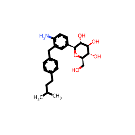 CC(C)CCc1ccc(Cc2cc([C@@H]3O[C@H](CO)[C@@H](O)[C@H](O)[C@H]3O)ccc2N)cc1